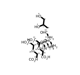 CC(O)CO.NC=O.NC=O.NC=O.NC=O.O=C(O)COCC(=O)O.O=C(O)COCC(=O)O